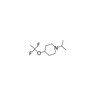 CC(C)N1CCC(OC(C)(F)F)CC1